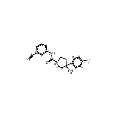 N#Cc1cccc(NC(=O)N2CCC(O)(c3ccc(Cl)cc3)CC2)c1